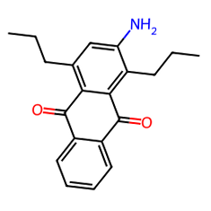 CCCc1cc(N)c(CCC)c2c1C(=O)c1ccccc1C2=O